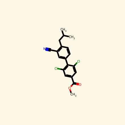 COC(=O)c1cc(Cl)c(-c2ccc(CC(C)C)c(C#N)c2)c(Cl)c1